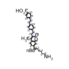 CCCCN(CCCCCN)c1ccc2c(C)c(/C=C/c3ccc(/C=C/c4ccc(C(=O)O)cc4)cc3)c(=O)oc2c1